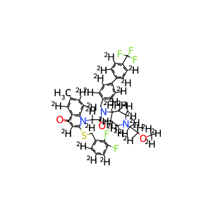 [2H]c1c([2H])c(F)c(F)c(CSc2c([2H])c(=O)c3c([2H])c(C)c([2H])c([2H])c3n2C([2H])([2H])C(=O)N(Cc2c([2H])c([2H])c(-c3c([2H])c([2H])c(C(F)(F)F)c([2H])c3[2H])c([2H])c2[2H])C2([2H])C([2H])([2H])C([2H])([2H])N(C([2H])([2H])C([2H])([2H])OC([2H])([2H])[2H])C([2H])([2H])C2([2H])[2H])c1[2H]